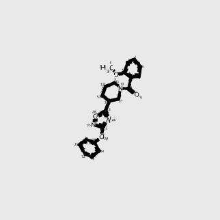 COc1ccccc1C(=O)N1CCCC(c2nc(Oc3ccccc3)no2)C1